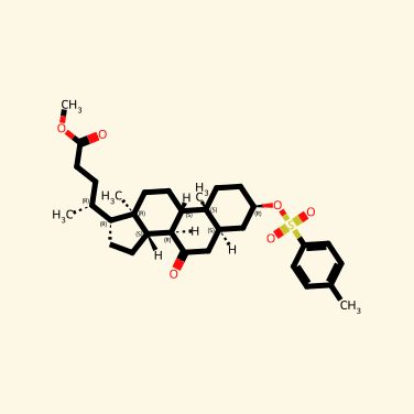 COC(=O)CC[C@@H](C)[C@H]1CC[C@H]2[C@@H]3C(=O)C[C@@H]4C[C@H](OS(=O)(=O)c5ccc(C)cc5)CC[C@]4(C)[C@H]3CC[C@]12C